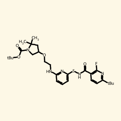 CC(C)(C)OC(=O)N1CC(OCCNc2cccc(SNC(=O)c3ccc(C(C)(C)C)nc3F)n2)CC1(C)C